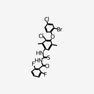 Cc1cc(NC(=S)NC(=O)c2c(F)cccc2F)c(C)c(Cl)c1Oc1ccc(Cl)cc1Br